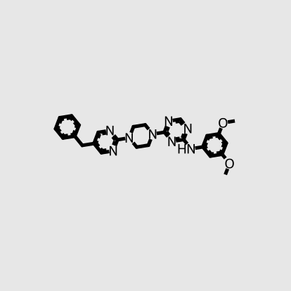 COc1cc(Nc2ncnc(N3CCN(c4ncc(Cc5ccccc5)cn4)CC3)n2)cc(OC)c1